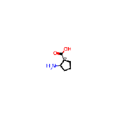 NC1CCC[C@@H]1C(=O)O